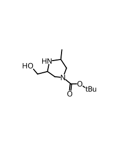 CC1CN(C(=O)OC(C)(C)C)CC(CO)N1